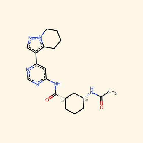 CC(=O)N[C@@H]1CCC[C@H](C(=O)Nc2cc(-c3cnn4c3CCCC4)ncn2)C1